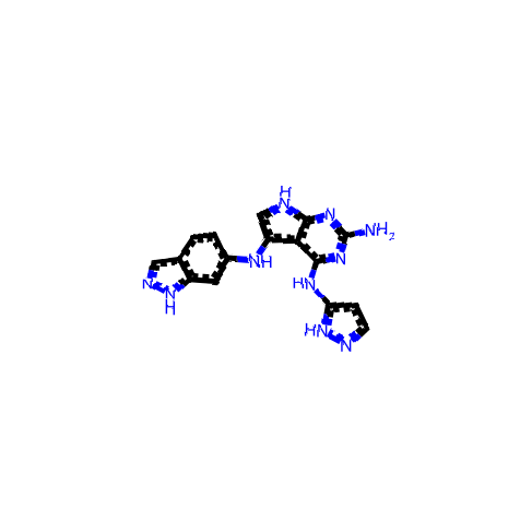 Nc1nc(Nc2ccn[nH]2)c2c(Nc3ccc4cn[nH]c4c3)c[nH]c2n1